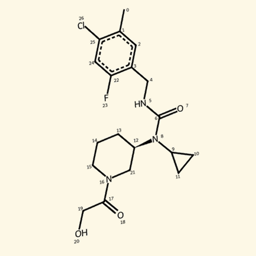 Cc1cc(CNC(=O)N(C2CC2)[C@@H]2CCCN(C(=O)CO)C2)c(F)cc1Cl